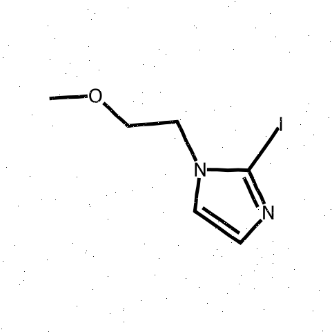 COCCn1ccnc1I